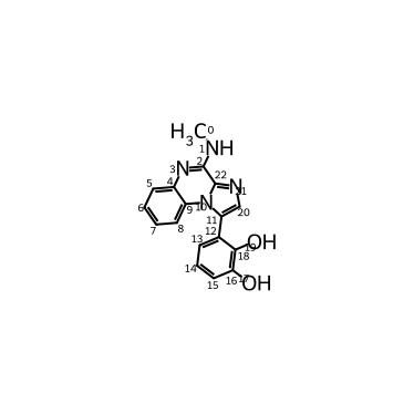 CNc1nc2ccccc2n2c(-c3cccc(O)c3O)cnc12